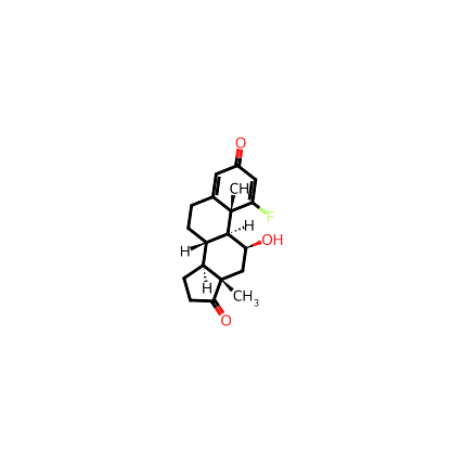 C[C@]12C(F)=CC(=O)C=C1CC[C@@H]1[C@@H]2[C@@H](O)C[C@]2(C)C(=O)CC[C@@H]12